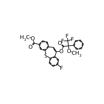 COC(=O)c1ccc2c(c1)Sc1ccc(F)cc1C(OC(=O)C(OC)(c1ccccc1)C(F)(F)F)=C2